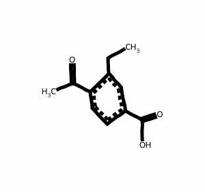 CCc1cc(C(=O)O)ccc1C(C)=O